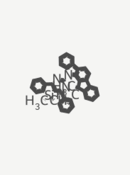 CC1(C)c2ccccc2-c2ccc3c4ccccc4n(-c4nc(-c5ccccc5)c5c(n4)-c4ccccc4[Si]5(C)C)c3c21